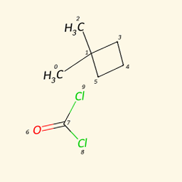 CC1(C)CCC1.O=C(Cl)Cl